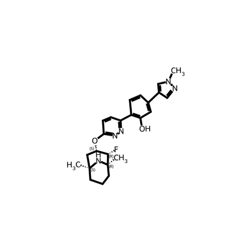 Cn1cc(-c2ccc(-c3ccc(O[C@H]4C[C@]5(C)CCC[C@@](C)(N5)[C@H]4F)nn3)c(O)c2)cn1